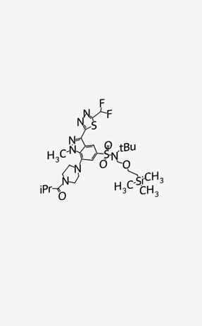 CC(C)C(=O)N1CCN(c2cc(S(=O)(=O)N(COCC[Si](C)(C)C)C(C)(C)C)cc3c(-c4nnc(C(F)F)s4)nn(C)c23)CC1